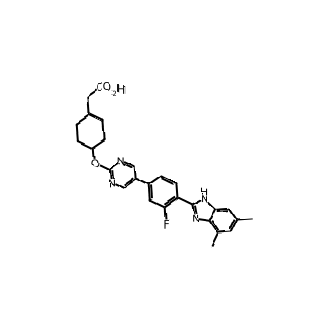 Cc1cc(C)c2nc(-c3ccc(-c4cnc(OC5CCC(CC(=O)O)CC5)nc4)cc3F)[nH]c2c1